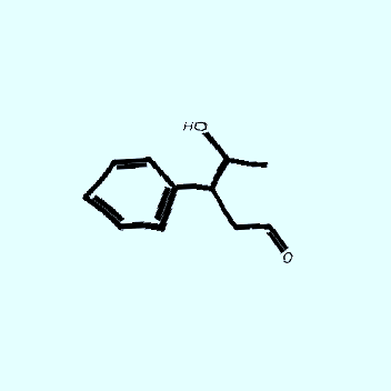 CC(O)C(CC=O)c1ccccc1